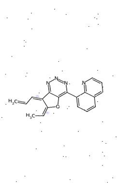 C=C/C=c1\c(=C/C)oc2c(-c3cccc4cccnc34)nnnc12